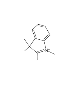 CC1=[N+](C)c2ccccc2C1(C)C